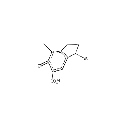 CCC1CCc2c1cc(C(=O)O)c(=O)n2C